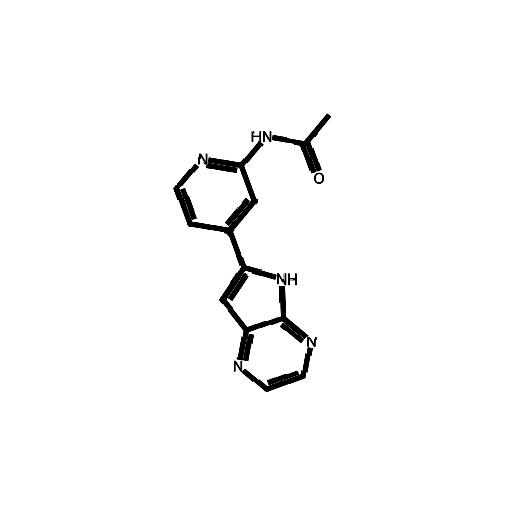 CC(=O)Nc1cc(-c2cc3nccnc3[nH]2)ccn1